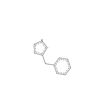 [c]1sccc1Cc1ccccc1